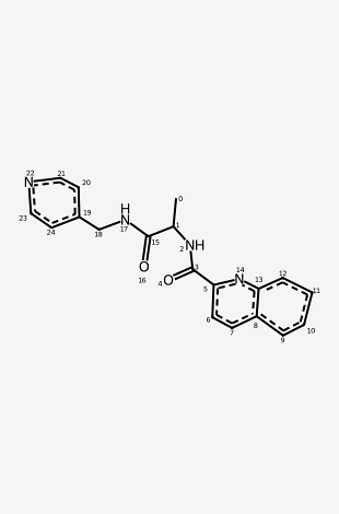 CC(NC(=O)c1ccc2ccccc2n1)C(=O)NCc1ccncc1